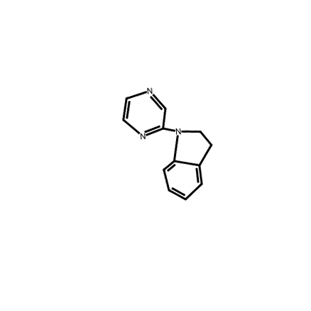 c1ccc2c(c1)CCN2c1cnccn1